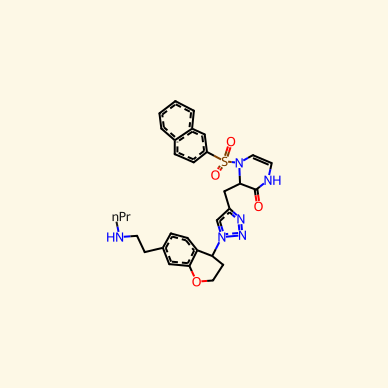 CCCNCCc1ccc2c(c1)OCCC2n1cc(CC2C(=O)NC=CN2S(=O)(=O)c2ccc3ccccc3c2)nn1